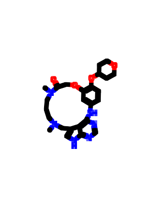 CN1CCCN(C)C(=O)COc2cc(ccc2OC2CCOCC2)Nc2ncnc3[nH]cc(c23)C1